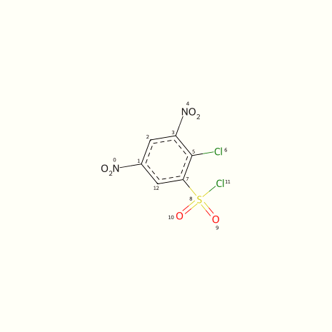 O=[N+]([O-])c1cc([N+](=O)[O-])c(Cl)c(S(=O)(=O)Cl)c1